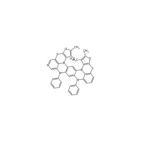 Cc1oc2c(c1C)B1c3cc4c(cc3N(c3ccccc3)c3cccc(c31)S2)N(c1ccccc1)c1cncc2c1B4c1c(oc(C)c1C)S2